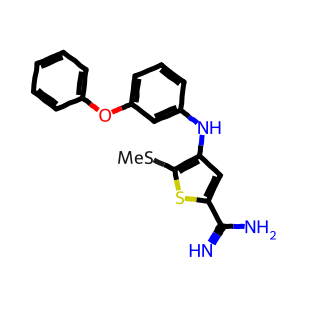 CSc1sc(C(=N)N)cc1Nc1cccc(Oc2ccccc2)c1